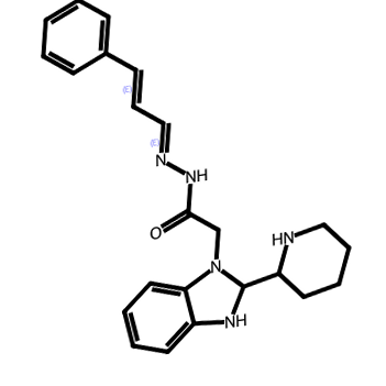 O=C(CN1c2ccccc2NC1C1CCCCN1)N/N=C/C=C/c1ccccc1